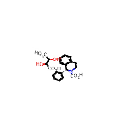 O=C(O)C(O)C(O)C(=O)O.O=C(O)N1CCc2ccccc2[C@H]1c1ccccc1